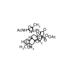 CC(=O)Nc1nnc(C)o1.CC(=O)OOC(=O)[C@@]12CC[C@]3(C)[C@H](CC[C@@H]4[C@@]5(C)CCCC(C)(C)[C@@H]5CC[C@]43C)C1=C(C(C)C)C(=O)C2